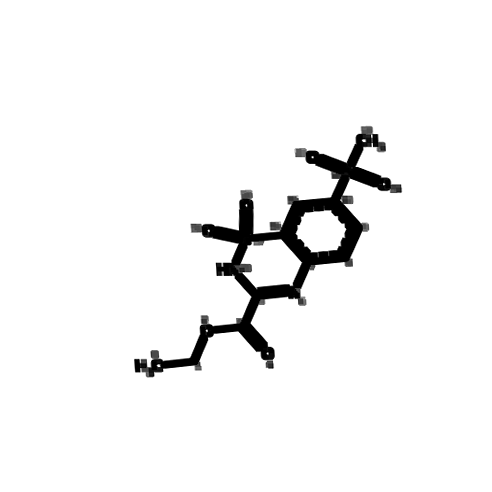 CCOC(=O)C1=Nc2ccc(S(C)(=O)=O)cc2S(=O)(=O)N1